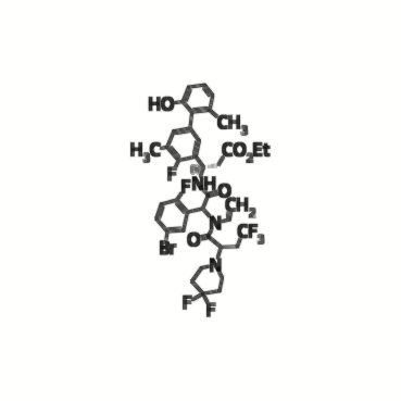 C=CN(C(=O)C(CC(F)(F)F)N1CCC(F)(F)CC1)C(C(=O)N[C@@H](CC(=O)OCC)c1cc(-c2c(C)cccc2O)cc(C)c1F)c1cc(Br)ccc1F